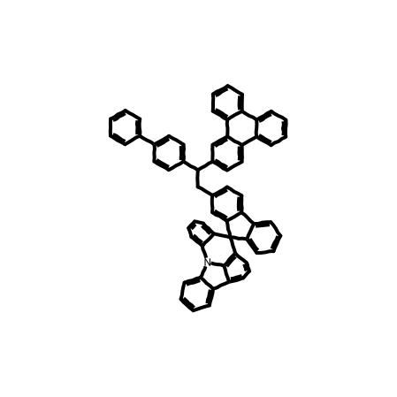 c1ccc(-c2ccc(C(Cc3ccc4c(c3)C3(c5ccccc5-4)c4ccccc4-n4c5ccccc5c5cccc3c54)c3ccc4c5ccccc5c5ccccc5c4c3)cc2)cc1